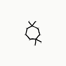 CC1(C)[CH]CC(C)(C)CCC1